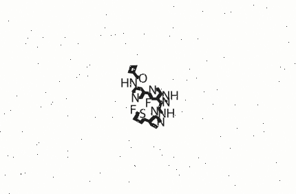 O=C(Nc1cncc(-c2ncc3[nH]nc(-c4nc5c(-c6ccc(F)s6)ccnc5[nH]4)c3c2F)c1)C1CCC1